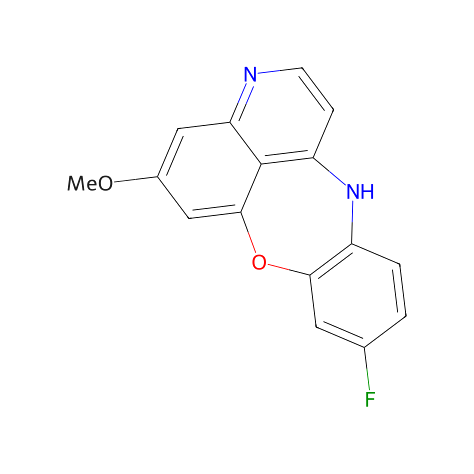 COc1cc2c3c(ccnc3c1)Nc1ccc(F)cc1O2